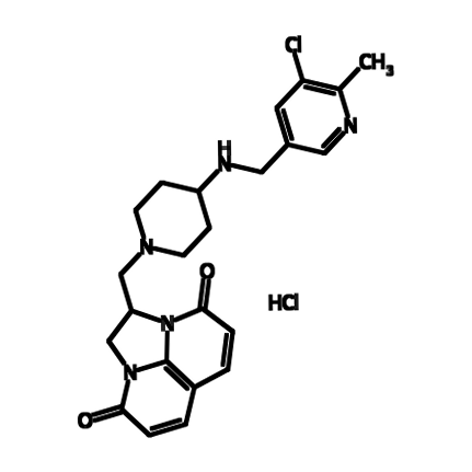 Cc1ncc(CNC2CCN(CC3Cn4c(=O)ccc5ccc(=O)n3c54)CC2)cc1Cl.Cl